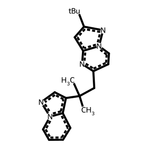 CC(C)(C)c1cc2nc(CC(C)(C)c3cnn4ccccc34)ccn2n1